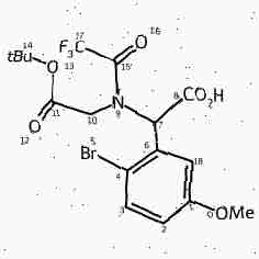 COc1ccc(Br)c(C(C(=O)O)N(CC(=O)OC(C)(C)C)C(=O)C(F)(F)F)c1